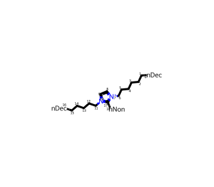 CCCCCCCCCCCCCCCC[n+]1ccn(CCCCCCCCCCCCCCC)c1CCCCCCCCC